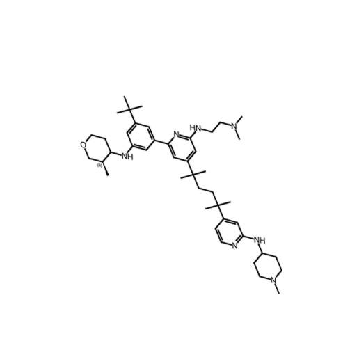 C[C@H]1COCCC1Nc1cc(-c2cc(C(C)(C)CCC(C)(C)c3ccnc(NC4CCN(C)CC4)c3)cc(NCCN(C)C)n2)cc(C(C)(C)C)c1